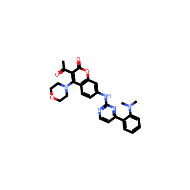 CC(=O)c1c(N2CCOCC2)c2ccc(Nc3nccc(-c4ccccc4N(C)C)n3)cc2oc1=O